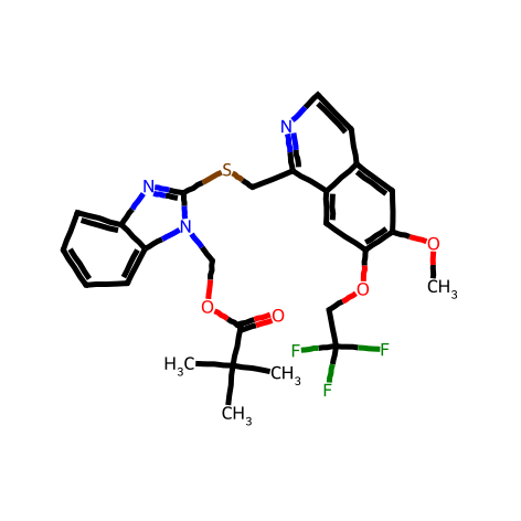 COc1cc2ccnc(CSc3nc4ccccc4n3COC(=O)C(C)(C)C)c2cc1OCC(F)(F)F